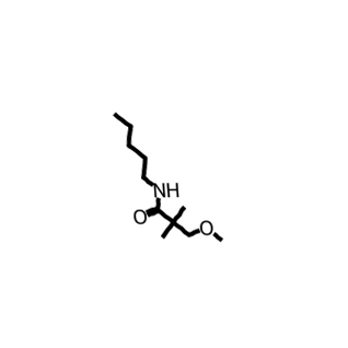 CCCCCNC(=O)C(C)(C)COC